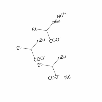 CCCCC(CC)C(=O)[O-].CCCCC(CC)C(=O)[O-].CCCCC(CC)C(=O)[O-].[Nd+3].[Nd]